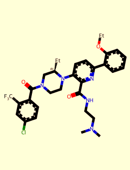 CCOc1ccccc1-c1ccc(N2CCN(C(=O)c3ccc(Cl)cc3C(F)(F)F)C[C@H]2CC)c(C(=O)NCCN(C)C)n1